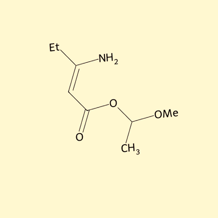 CCC(N)=CC(=O)OC(C)OC